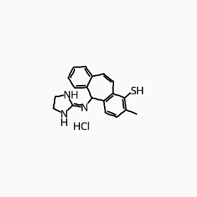 Cc1ccc2c(c1S)C=Cc1ccccc1C2N=C1NCCN1.Cl